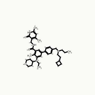 CCCN(CCC1CCC1)Cc1ccc(-c2cc(C(=O)NCc3c(C)cc(C)[nH]c3=O)c(C)c(N(CC)C3CCOCC3)c2)cc1